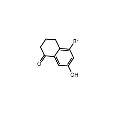 O=C1CCCc2c(Br)cc(O)cc21